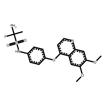 COc1cc2nccc(Oc3ccc(NS(=O)(=O)C(C)(F)P)cc3)c2cc1OC